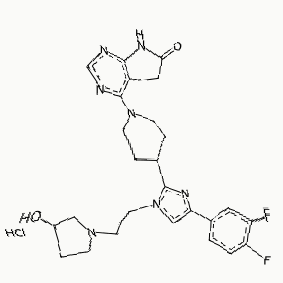 Cl.O=C1Cc2c(ncnc2N2CCC(c3nc(-c4ccc(F)c(F)c4)cn3CCN3CCC(O)C3)CC2)N1